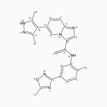 Cc1nc(-c2ccc(C)c(NC(=O)c3cnc4ccc(-c5c(C)n[nH]c5C)cn34)c2)no1